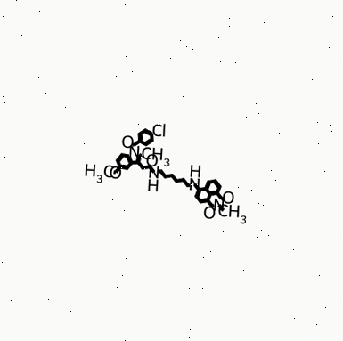 COc1ccc2c(c1)c(CC(=O)NCCCCCCNc1ccc3c4c(cccc14)C(=O)N(C)C3=O)c(C)n2C(=O)c1ccc(Cl)cc1